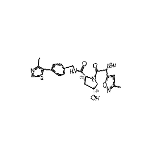 Cc1cc(C(C(=O)N2C[C@H](O)C[C@H]2C(=O)NCc2ccc(-c3scnc3C)cc2)C(C)(C)C)on1